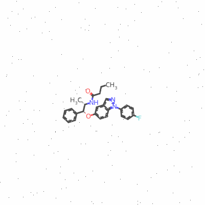 CCCC(=O)N[C@@H](C)[C@H](Oc1ccc2c(cnn2-c2ccc(F)cc2)c1)c1ccccc1